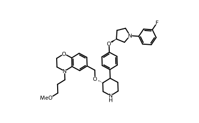 COCCCN1CCOc2ccc(CO[C@H]3CNCCC3c3ccc(O[C@H]4CCN(c5cccc(F)c5)C4)cc3)cc21